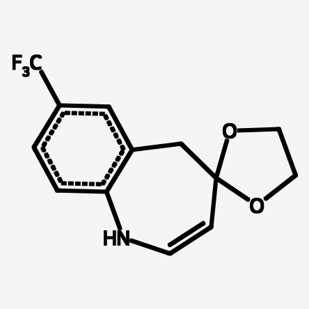 FC(F)(F)c1ccc2c(c1)CC1(C=CN2)OCCO1